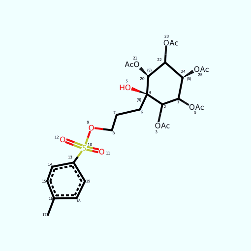 CC(=O)OC1C(OC(C)=O)[C@](O)(CCCOS(=O)(=O)c2ccc(C)cc2)[C@@H](OC(C)=O)C(OC(C)=O)[C@H]1OC(C)=O